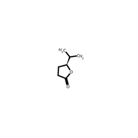 CC(C)[C@@H]1CCC(=O)O1